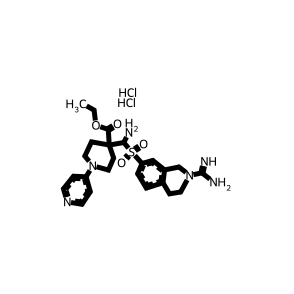 CCOC(=O)C1(C(N)S(=O)(=O)c2ccc3c(c2)CN(C(=N)N)CC3)CCN(c2ccncc2)CC1.Cl.Cl